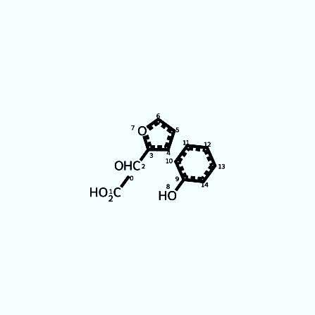 CC(=O)O.O=Cc1ccco1.Oc1ccccc1